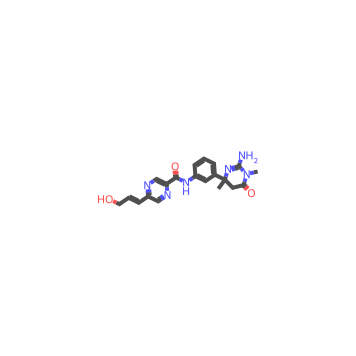 CN1C(=O)CC(C)(c2cccc(NC(=O)c3cnc(/C=C/CO)cn3)c2)N=C1N